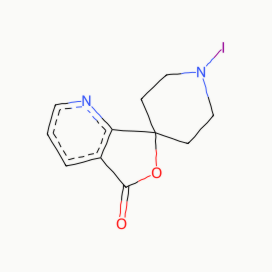 O=C1OC2(CCN(I)CC2)c2ncccc21